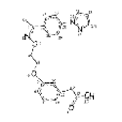 CC(=NOCCOc1cccc(CC(=O)O)c1)c1ccc(-n2cccn2)cc1